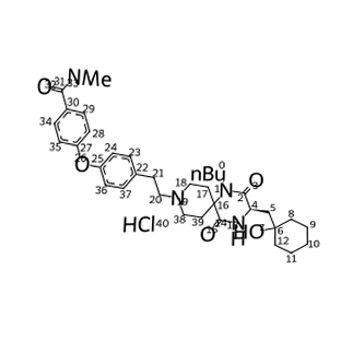 CCCCN1C(=O)[C@@H](CC2(O)CCCCC2)NC(=O)C12CCN(CCc1ccc(Oc3ccc(C(=O)NC)cc3)cc1)CC2.Cl